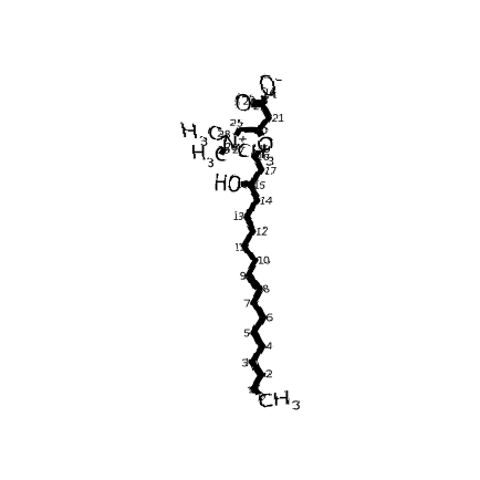 CCCCCCCCC=CCCCCCC(O)CCOC(CC(=O)[O-])C[N+](C)(C)C